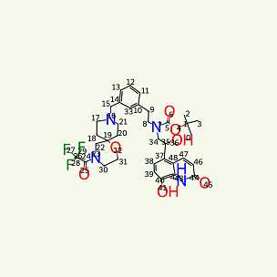 CC(C)(C)OC(=O)N(CCc1cccc(CN2CCC3(CC2)CN(C(=O)C(F)(F)F)CCO3)c1)CC(O)c1ccc(O)c2[nH]c(=O)ccc12